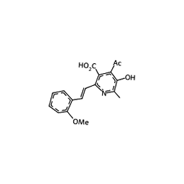 COc1ccccc1/C=C/c1nc(C)c(O)c(C(C)=O)c1C(=O)O